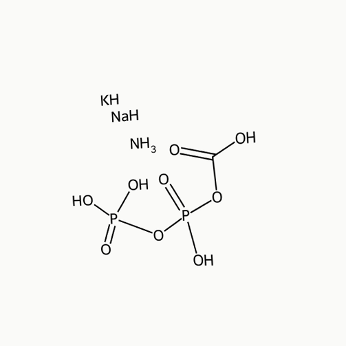 N.O=C(O)OP(=O)(O)OP(=O)(O)O.[KH].[NaH]